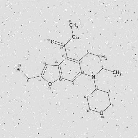 CCc1c(N(CC)C2CCOCC2)cc2oc(CBr)cc2c1C(=O)OC